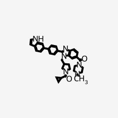 CN1CCN(C(=O)c2ccc3nc(-c4ccc(-c5ccc6cc[nH]c6c5)cc4)n(CC4CCN(C(=O)C5CC5)C4)c3c2)CC1